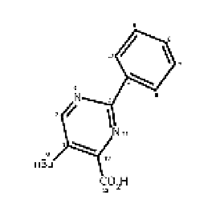 CCCCc1cnc(-c2ccccc2)nc1C(=O)O